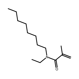 C=C(C)C(=O)N(CC)CCCCCCCC